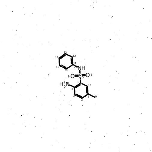 Cc1ccc(N)c(S(=O)(=O)Nc2ccccc2)c1